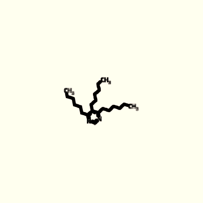 CCCCCCc1n[c]nc(CCCCCC)c1CCCCCC